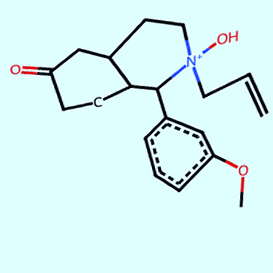 C=CC[N+]1(O)CCC2CC(=O)CCC2C1c1cccc(OC)c1